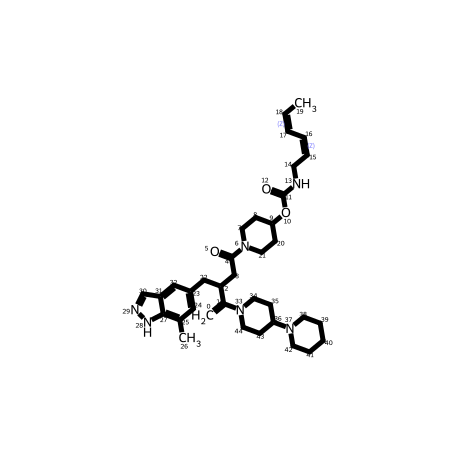 C=C(C(CC(=O)N1CCC(OC(=O)NC/C=C\C=C/C)CC1)Cc1cc(C)c2[nH]ncc2c1)N1CCC(N2CCCCC2)CC1